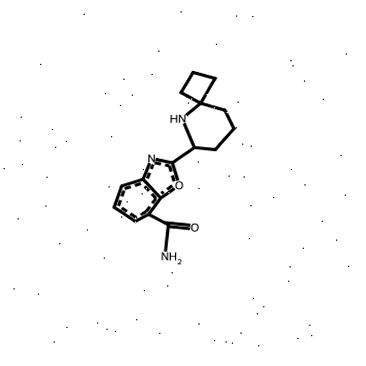 NC(=O)c1cccc2nc(C3CCCC4(CCC4)N3)oc12